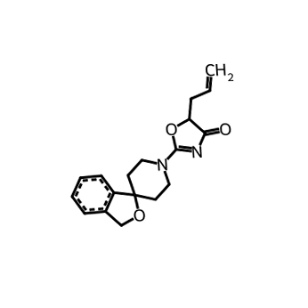 C=CCC1OC(N2CCC3(CC2)OCc2ccccc23)=NC1=O